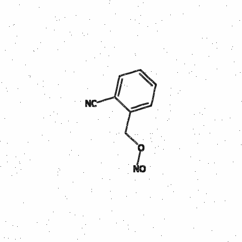 N#Cc1ccccc1CON=O